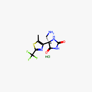 Cc1sc(C(F)(F)F)nc1[C@@]1(CN)NC(=O)NC1=O.Cl